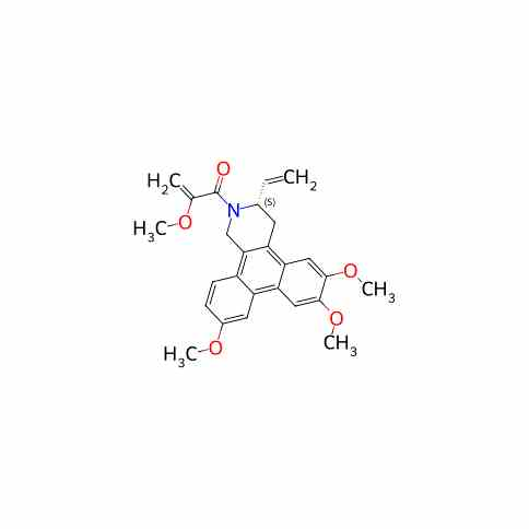 C=C[C@@H]1Cc2c(c3ccc(OC)cc3c3cc(OC)c(OC)cc23)CN1C(=O)C(=C)OC